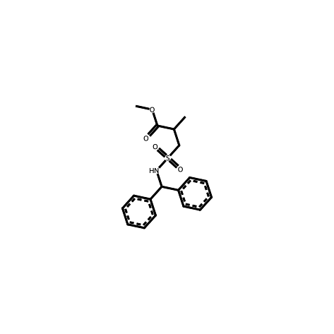 COC(=O)C(C)CS(=O)(=O)NC(c1ccccc1)c1ccccc1